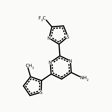 Cc1ccsc1-c1cc(N)nc(-c2nc(C(F)(F)F)cs2)n1